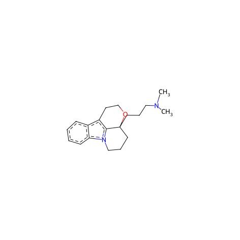 CN(C)CCCC12CCCn3c1c(c1ccccc13)CCO2